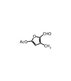 CC(=O)Oc1cc(C)c(C=O)o1